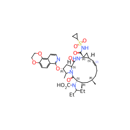 CCC(CC)N(C(=O)O)[C@@H]1C(=O)N2C(C)[C@H](Oc3nccc4c5c(ccc34)OCCO5)C[C@H]2C(=O)N[C@]2(C(=O)NS(=O)(=O)C3CC3)C[C@H]2/C=C\CC[C@@H](C)C[C@H]1C